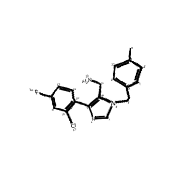 Cc1ccc(Cn2cnc(-c3ccc(F)cc3Cl)c2CN)cc1